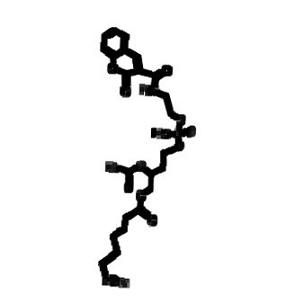 CCCCCCCCCCCCCCCC(=O)OCC(CCOP(=O)(O)OCCNC(=O)c1cc2ccccc2oc1=O)OC(=O)CC